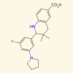 CC1(C)Cc2cc(C(=O)O)ccc2NC1c1cc(F)cc(N2CCCC2)c1